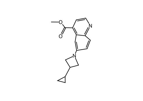 COC(=O)c1ccnc2ccc(N3CC(C4CC4)C3)cc12